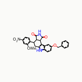 COc1cc([N+](=O)[O-])ccc1C1Cc2[nH]c3ccc(OCc4ccccc4)cc3c2C2C(=O)NC(=O)C12